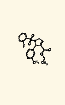 CCOC(=O)C1=CCN(S(=O)(=O)c2ccccc2F)C1c1cccc(C)c1